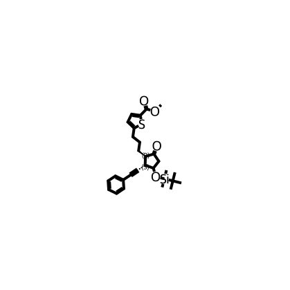 COC(=O)c1ccc(CCC[C@H]2C(=O)CC(O[Si](C)(C)C(C)(C)C)[C@@H]2C#Cc2ccccc2)s1